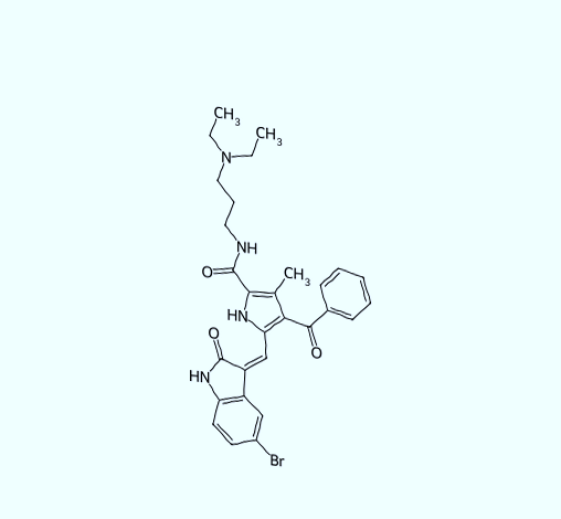 CCN(CC)CCCNC(=O)c1[nH]c(C=C2C(=O)Nc3ccc(Br)cc32)c(C(=O)c2ccccc2)c1C